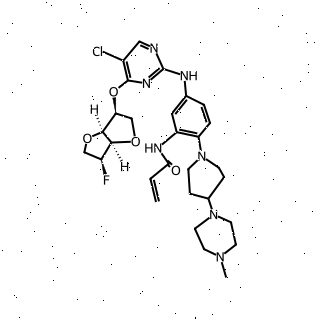 C=CC(=O)Nc1cc(Nc2ncc(Cl)c(O[C@H]3CO[C@@H]4[C@H]3OC[C@@H]4F)n2)ccc1N1CCC(N2CCN(C)CC2)CC1